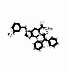 COC(=O)C1Cc2c(ncn2Cc2cccc(C(F)(F)F)c2)CN1C(=O)C(c1ccccc1)c1ccccc1